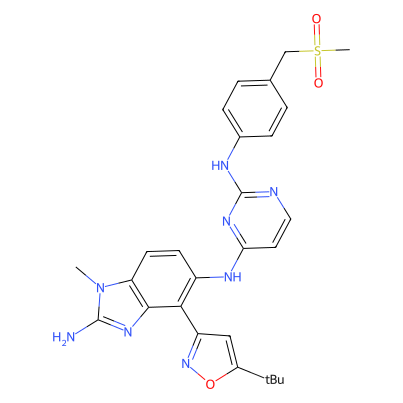 Cn1c(N)nc2c(-c3cc(C(C)(C)C)on3)c(Nc3ccnc(Nc4ccc(CS(C)(=O)=O)cc4)n3)ccc21